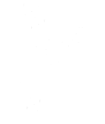 O=S(=O)(CCC(F)(F)C(F)(F)C(F)(F)C(F)(F)F)Oc1ccc(OS(=O)(=O)CCC(F)(F)C(F)(F)C(F)(F)C(F)(F)F)c(OS(=O)(=O)CCC(F)(F)C(F)(F)C(F)(F)C(F)(F)F)c1